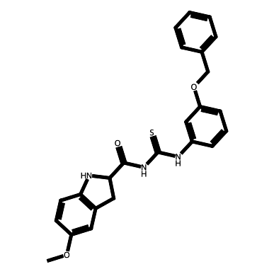 COc1ccc2c(c1)CC(C(=O)NC(=S)Nc1cccc(OCc3ccccc3)c1)N2